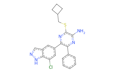 Nc1nc(-c2ccccc2)c(-c2cc(Cl)c3[nH]ncc3c2)nc1SCC1CCC1